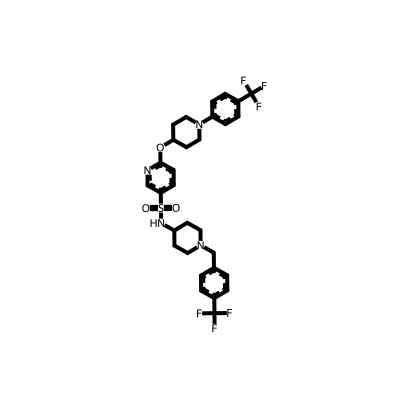 O=S(=O)(NC1CCN(Cc2ccc(C(F)(F)F)cc2)CC1)c1ccc(OC2CCN(c3ccc(C(F)(F)F)cc3)CC2)nc1